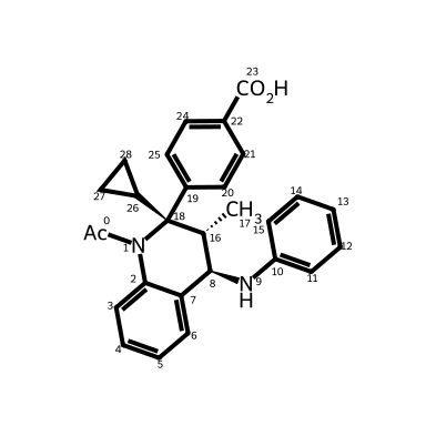 CC(=O)N1c2ccccc2[C@H](Nc2ccccc2)[C@@H](C)[C@]1(c1ccc(C(=O)O)cc1)C1CC1